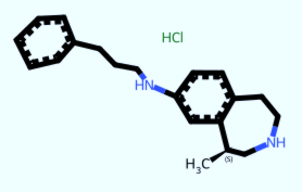 C[C@@H]1CNCCc2ccc(NCCCc3ccccc3)cc21.Cl